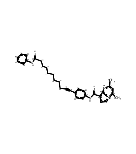 Cc1cc(C)n2ccc(C(=O)Nc3ccc(C#CCCCCCCCCC(=O)Sc4ccccc4)cc3)c2n1